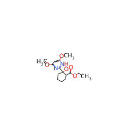 CCOC(=O)C1CCCCC1(O)c1nc(OC)cc(OC)n1